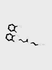 CCCCCCCCCCC=COC(=O)CCC(=O)O.Cc1cccc[c]1[Hg].Cc1cccc[c]1[Hg]